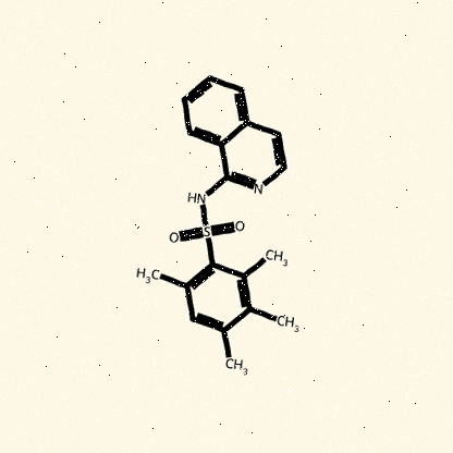 Cc1cc(C)c(S(=O)(=O)Nc2nccc3ccccc23)c(C)c1C